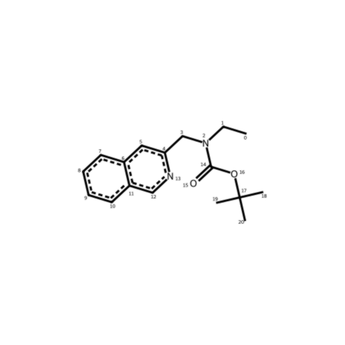 CCN(Cc1cc2ccccc2cn1)C(=O)OC(C)(C)C